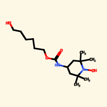 CC1(C)CC(NC(=O)OCCCCCCO)CC(C)(C)N1O